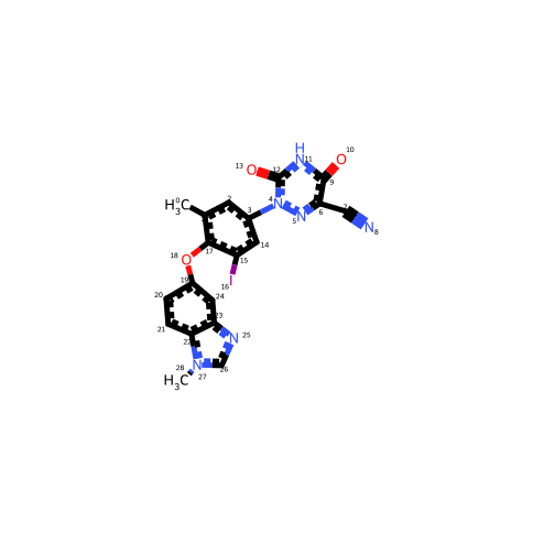 Cc1cc(-n2nc(C#N)c(=O)[nH]c2=O)cc(I)c1Oc1ccc2c(c1)ncn2C